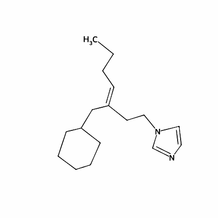 CCC/C=C(/CCn1ccnc1)CC1CCCCC1